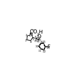 O=C(O)N1CCCC1[C@H]1O[C@@H]1c1cccc(F)c1